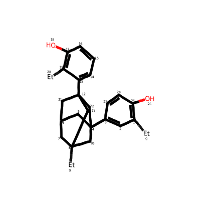 CCc1cc(C23CC4CC(CC)(C2)CC(c2cccc(O)c2CC)(C4)C3)ccc1O